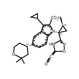 C[C@H]1C[C@]1(C1=NOC(=C=O)N1)n1c(C(=O)O)c(C2CC2)c2cc([C@H]3CCOC(C)(C)C3)ccc21